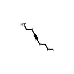 CCCCC#CCC[NH]